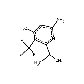 Cc1cc(N)nc(C(C)C)c1C(F)(F)F